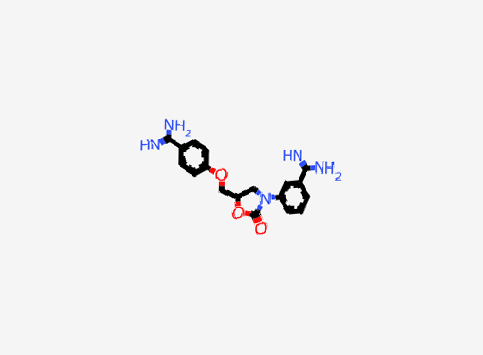 N=C(N)c1ccc(OCC2CN(c3cccc(C(=N)N)c3)C(=O)O2)cc1